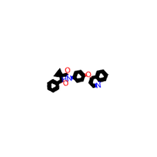 O=C(Nc1ccc(Oc2ccnc3c[c]ccc23)cc1)C1(C(=O)c2ccccc2)CC1